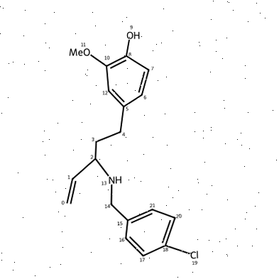 C=CC(CCc1ccc(O)c(OC)c1)NCc1ccc(Cl)cc1